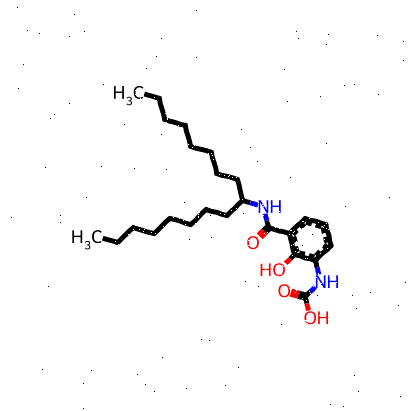 CCCCCCCCC(CCCCCCCC)NC(=O)c1cccc(NC(=O)O)c1O